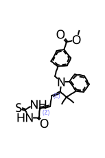 COC(=O)c1ccc(CN2/C(=C/C=C3\NC(=S)NC3=O)C(C)(C)c3ccccc32)cc1